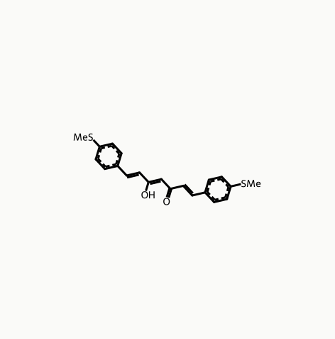 CSc1ccc(/C=C/C(=O)/C=C(O)/C=C/c2ccc(SC)cc2)cc1